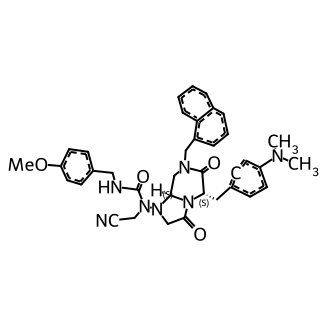 COc1ccc(CNC(=O)N(CC#N)N2CC(=O)N3[C@@H](Cc4ccc(N(C)C)cc4)C(=O)N(Cc4cccc5ccccc45)C[C@@H]32)cc1